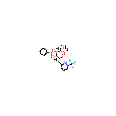 C[C@H]1OCC(Cc2cccc(C(F)(F)F)n2)[C@H]2OC(c3ccccc3)O[C@H]21